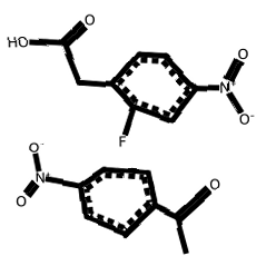 CC(=O)c1ccc([N+](=O)[O-])cc1.O=C(O)Cc1ccc([N+](=O)[O-])cc1F